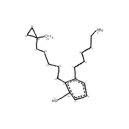 CC(C)(C)CCCCCc1cccc(O)c1CCCCCC1(C)CC1